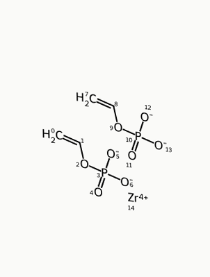 C=COP(=O)([O-])[O-].C=COP(=O)([O-])[O-].[Zr+4]